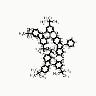 CC(C)(C)c1cc2c3c(c1)-n1c4ccc(C(C)(C)C)cc4c4cc(C(C)(C)C)cc(c41)B3c1cc3c4cc5c(cc4n(-c4ccccc4)c3cc1O2)Oc1cc(C(C)(C)C)cc2c1B5c1c(C(C)(C)C)ccc3c4cc(C(C)(C)C)ccc4n-2c13